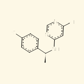 C[C@H](Nc1cc(Cl)ncn1)c1ccc(F)cc1